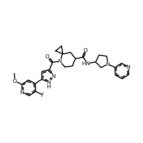 COc1cc(-c2cc(C(=O)N3CCC(C(=O)NC4CCN(c5cccnc5)C4)CC34CC4)n[nH]2)c(F)cn1